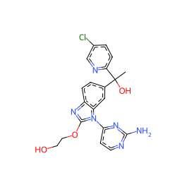 CC(O)(c1ccc2nc(OCCO)n(-c3ccnc(N)n3)c2c1)c1ccc(Cl)cn1